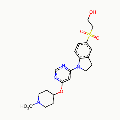 O=C(O)N1CCC(Oc2cc(N3CCc4cc(S(=O)(=O)CCO)ccc43)ncn2)CC1